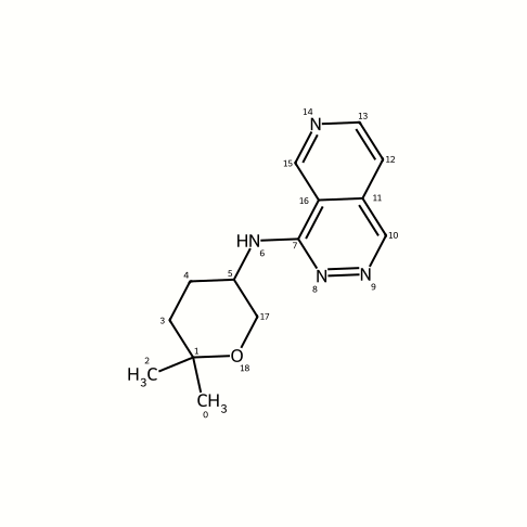 CC1(C)CCC(Nc2nncc3ccncc23)CO1